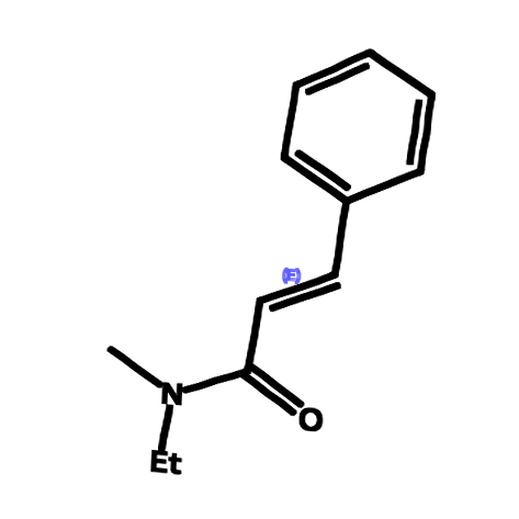 CCN(C)C(=O)/C=C/c1ccccc1